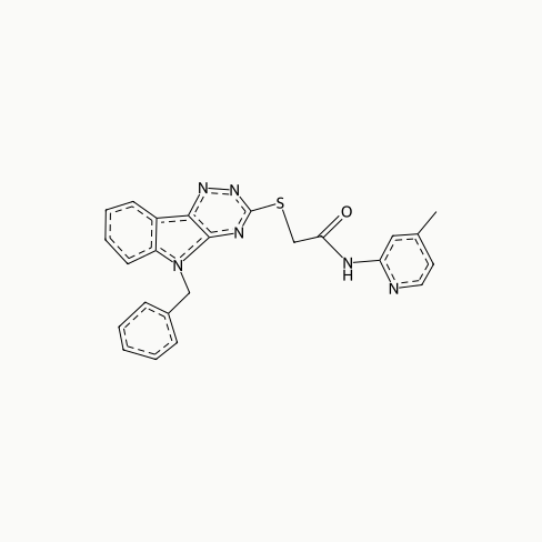 Cc1ccnc(NC(=O)CSc2nnc3c4ccccc4n(Cc4ccccc4)c3n2)c1